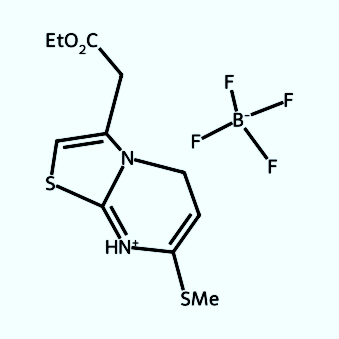 CCOC(=O)CC1=CSC2=[NH+]C(SC)=CCN12.F[B-](F)(F)F